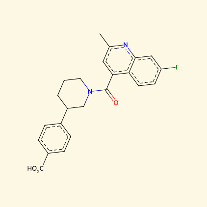 Cc1cc(C(=O)N2CCCC(c3ccc(C(=O)O)cc3)C2)c2ccc(F)cc2n1